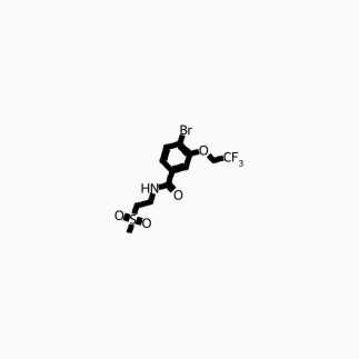 CS(=O)(=O)CCNC(=O)c1ccc(Br)c(OCC(F)(F)F)c1